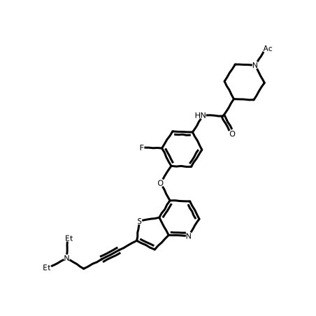 CCN(CC)CC#Cc1cc2nccc(Oc3ccc(NC(=O)C4CCN(C(C)=O)CC4)cc3F)c2s1